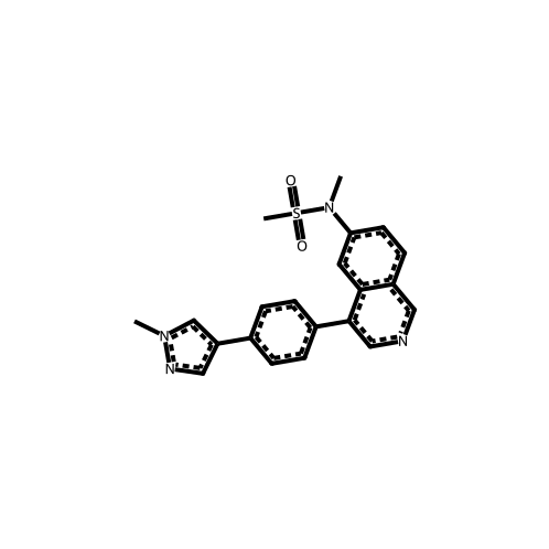 CN(c1ccc2cncc(-c3ccc(-c4cnn(C)c4)cc3)c2c1)S(C)(=O)=O